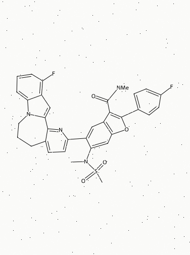 CNC(=O)c1c(-c2ccc(F)cc2)oc2cc(N(C)S(C)(=O)=O)c(-c3ccc4c(n3)-c3cc5c(F)cccc5n3CCC4)cc12